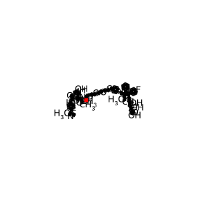 Cc1ncsc1-c1ccc(CNC(=O)[C@@H]2C[C@@H](O)CN2C(=O)[C@@H](NC(=O)COCCOCCOCCOc2ccc(NCc3c(-c4ccccc4)c(-c4ccc(F)cc4)n(CC[C@@H](O)C[C@@H](O)CC(=O)O)c3C(C)C)cc2)C(C)(C)C)cc1